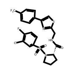 O=C(NCc1nc(-c2ccc(C(F)(F)F)cc2)cs1)[C@@H]1CCCN1S(=O)(=O)c1ccc(F)c(Cl)c1